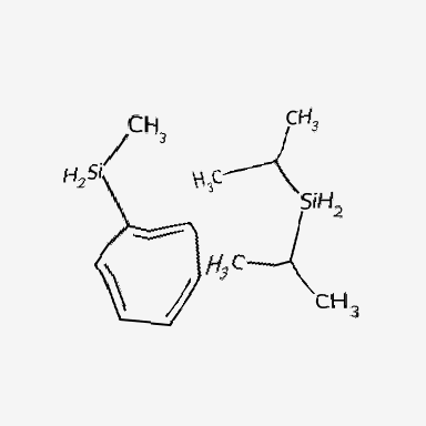 CC(C)[SiH2]C(C)C.C[SiH2]c1ccccc1